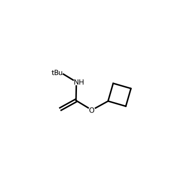 C=C(NC(C)(C)C)OC1CCC1